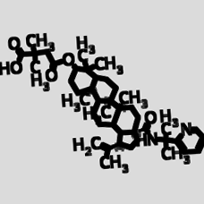 C=C(C)[C@@H]1CC[C@]2(C(=O)NC(C)(C)c3ccccn3)CC[C@]3(C)C(CCC4[C@@]5(C)CCC(OC(=O)CC(C)(C)C(=O)O)C(C)(C)C5CC[C@]43C)C12